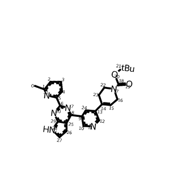 Cc1cccc(-c2nc(-c3cncc(C4=CCN(C(=O)OC(C)(C)C)CC4)c3)c3cc[nH]c3n2)n1